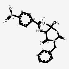 CC1(C)SC(=S)N(Cc2ccccc2)C(=O)C1NC(=O)c1ccc([N+](=O)[O-])cc1